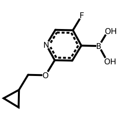 OB(O)c1cc(OCC2CC2)ncc1F